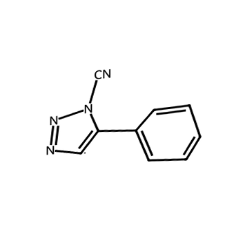 N#Cn1nn[c]c1-c1ccccc1